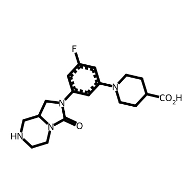 O=C(O)C1CCN(c2cc(F)cc(N3CC4CNCCN4C3=O)c2)CC1